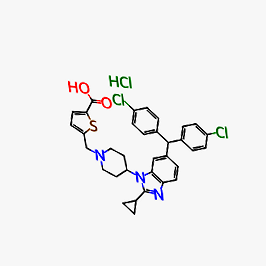 Cl.O=C(O)c1ccc(CN2CCC(n3c(C4CC4)nc4ccc(C(c5ccc(Cl)cc5)c5ccc(Cl)cc5)cc43)CC2)s1